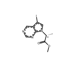 COC(=O)[C@@H](C)n1cc(I)c2cncnc21